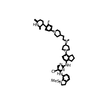 C=C1CCC(c2ccc(N3CCC(CCN(C)C4CCN(c5ccc(Nc6ncc(Cl)c(Nc7cccc8c7N(SC)CC8)n6)c6c5CCC6)CC4)CC3)cc2F)C(=C)N1